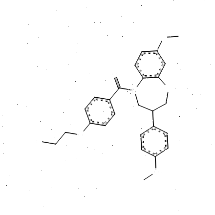 COc1ccc(C2COc3cc(OC)ccc3N(C(=O)c3ccc(OCCCl)cc3)C2)cc1